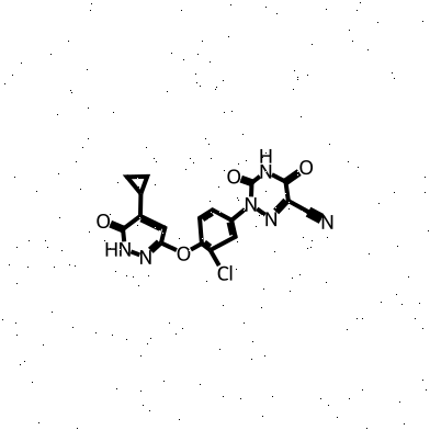 N#Cc1nn(-c2ccc(Oc3cc(C4CC4)c(=O)[nH]n3)c(Cl)c2)c(=O)[nH]c1=O